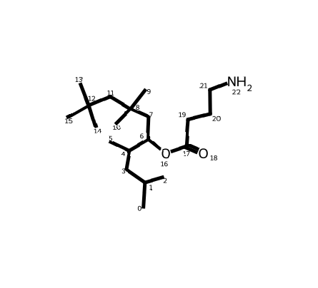 CC(C)CC(C)C(CC(C)(C)CC(C)(C)C)OC(=O)CCCN